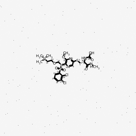 CNC(=O)[C@H](CSc1cnc(N(COCC[Si](C)(C)C)S(=O)(=O)c2cccc(Cl)c2Cl)c(OC)n1)NC(=O)O